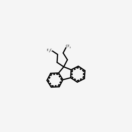 FC(F)(F)CCC1(CCC(F)(F)F)c2ccccc2-c2ccccc21